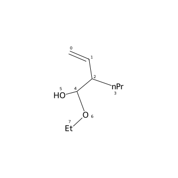 C=CC(CCC)C(O)OCC